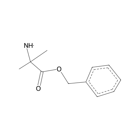 CC(C)([NH])C(=O)OCc1ccccc1